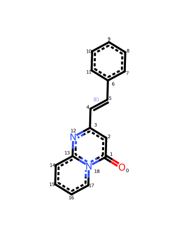 O=c1cc(/C=C/c2ccccc2)nc2ccccn12